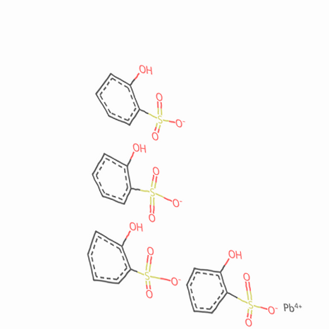 O=S(=O)([O-])c1ccccc1O.O=S(=O)([O-])c1ccccc1O.O=S(=O)([O-])c1ccccc1O.O=S(=O)([O-])c1ccccc1O.[Pb+4]